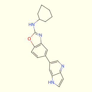 c1cc2ncc(-c3ccc4oc(NC5CCCCC5)nc4c3)cc2[nH]1